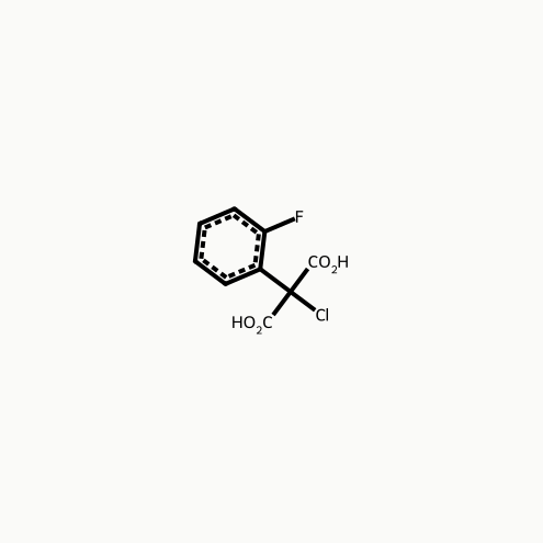 O=C(O)C(Cl)(C(=O)O)c1ccccc1F